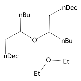 CCCCCCCCCCCC(CCCC)OC(CCCC)CCCCCCCCCCC.CCOCC